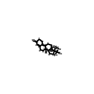 C[C@]12CCC3=C4CCC(=O)C=C4CC[C@H]3[C@@H]1CC[C@@]2(O)C(F)(F)F